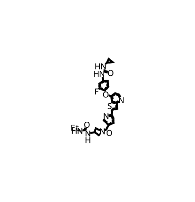 CCNC(=O)NC1CN(C(=O)c2ccc(-c3cc4nccc(Oc5ccc(NC(=O)NC6CC6)cc5F)c4s3)nc2)C1